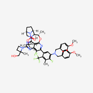 COc1ccc(CN(Cc2ccc(OC)cc2)c2cc(-c3nc4c5c(nc(N6CCC6(C)CO)nc5c3F)N3C[C@H]5CC[C@@H]([C@H]3[C@H](C)O4)N5C(=O)OC(C)(C)C)c(C(F)(F)F)c(C)c2F)cc1